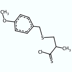 COc1ccc(CSCC(C)C(=S)Cl)cc1